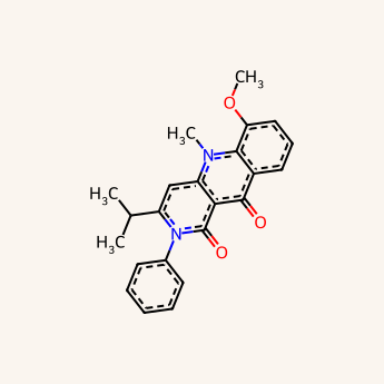 COc1cccc2c(=O)c3c(=O)n(-c4ccccc4)c(C(C)C)cc3n(C)c12